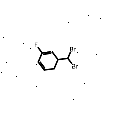 FC1=CC(C(Br)Br)CC=C1